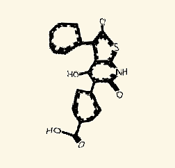 O=C(O)c1ccc(-c2c(O)c3c(-c4ccccc4)c(Cl)sc3[nH]c2=O)cc1